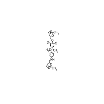 CC(=O)OC(CO)CNc1ccc(C(C)(C)c2cc(Cl)c(OCC(CCl)OC(C)=O)c(Cl)c2)cc1